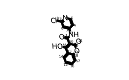 O=C(Nc1ccnc(Cl)c1)c1c(O)c2ccccc2oc1=O